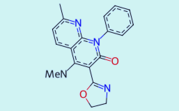 CNc1c(C2=NCCO2)c(=O)n(-c2ccccc2)c2nc(C)ccc12